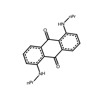 CCCNc1cccc2c1C(=O)c1cccc(NCCC)c1C2=O